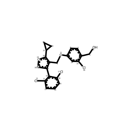 OCc1ccc(OCc2c(-c3c(Cl)cccc3Cl)noc2C2CC2)cc1Cl